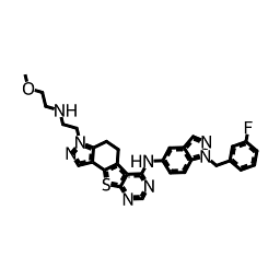 COCCNCCn1ncc2c1CCc1c-2sc2ncnc(Nc3ccc4c(cnn4Cc4cccc(F)c4)c3)c12